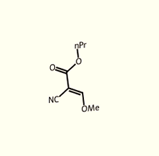 CCCOC(=O)C(C#N)=COC